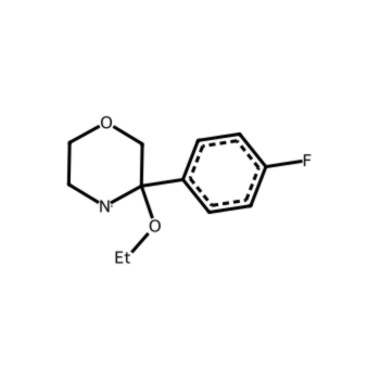 CCOC1(c2ccc(F)cc2)COCC[N]1